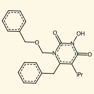 CC(C)c1c(Cc2ccccc2)n(COCc2ccccc2)c(=O)n(O)c1=O